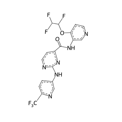 O=C(Nc1cnccc1OC(F)C(F)F)c1ccnc(Nc2ccc(C(F)(F)F)nc2)n1